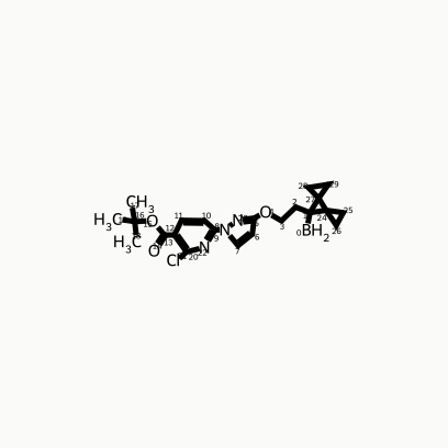 BC1(CCOc2ccn(-c3ccc(C(=O)OC(C)(C)C)c(Cl)n3)n2)C2(CC2)C12CC2